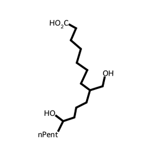 CCCCCC(O)CCCC(CO)CCCCCCC(=O)O